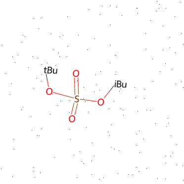 CCC(C)OS(=O)(=O)OC(C)(C)C